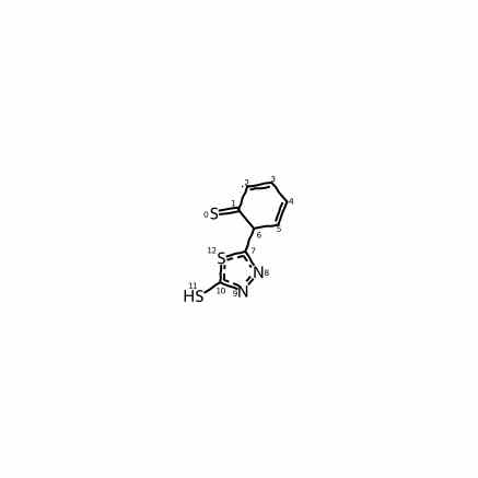 S=C1[C]=CC=CC1c1nnc(S)s1